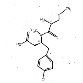 COC[C@H](N)C(=O)N(C)[C@H](CC(=O)O)Cc1ccc(Cl)cc1